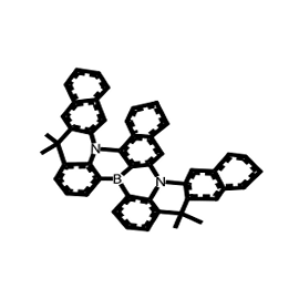 CC1(C)c2cc3ccccc3cc2N2c3cc4ccccc4c4c3B(c3cccc1c32)c1cccc2c1N4c1cc3ccccc3cc1C2(C)C